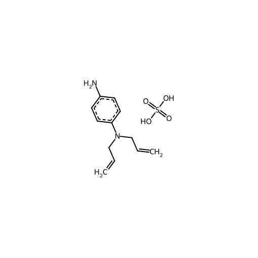 C=CCN(CC=C)c1ccc(N)cc1.O=S(=O)(O)O